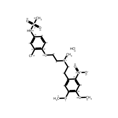 COc1cc(CCN(C)CCOc2ccc(NS(C)(=O)=O)cc2Cl)c([N+](=O)[O-])cc1OC.Cl